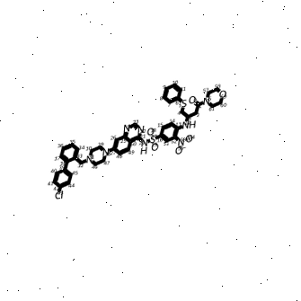 O=C(CC(CSc1ccccc1)Nc1ccc(S(=O)(=O)Nc2ncnc3cc(N4CCN(Cc5ccccc5-c5ccc(Cl)cc5)CC4)ccc23)cc1[N+](=O)[O-])N1CCOCC1